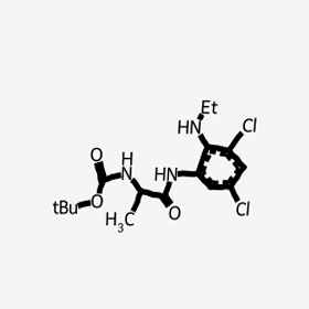 CCNc1c(Cl)cc(Cl)cc1NC(=O)C(C)NC(=O)OC(C)(C)C